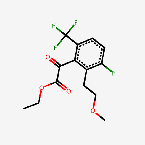 CCOC(=O)C(=O)c1c(C(F)(F)F)ccc(F)c1CCOC